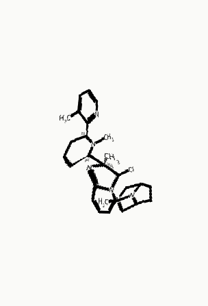 Cc1cccnc1[C@@H]1CCC[C@H]([C@]2(C)N=C3C=CC=C(N4C5CCC4CN(C)C5)N3C2Cl)N1C